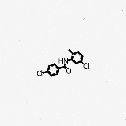 Cc1ccc(Cl)cc1NC(=O)c1ccc(Cl)cc1